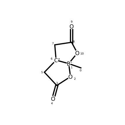 C[B-]12OC(=O)C[C+]1CC(=O)O2